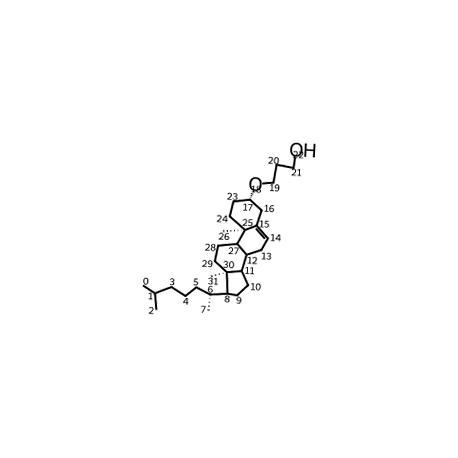 CC(C)CCC[C@@H](C)C1CCC2C3CC=C4C[C@@H](OCCCO)CC[C@]4(C)C3CC[C@@]21C